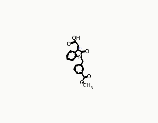 COC(=O)c1cccc(CN2C(=O)/C(=C/C(=O)O)c3ccccc32)c1